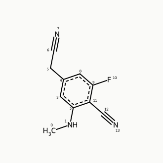 CNc1cc(CC#N)cc(F)c1C#N